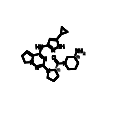 N[C@@H]1CCCN(C(=O)[C@@H]2CCCN2C2=NN3CCC=C3C(Nc3cc(C4CC4)[nH]n3)=N2)C1